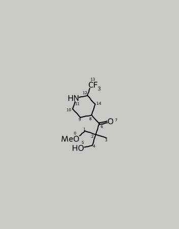 COCC(C)(CO)C(=O)C1CCNC(C(F)(F)F)C1